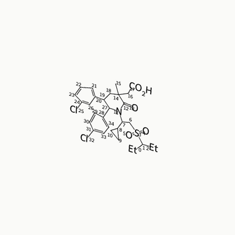 CCC(CC)S(=O)(=O)CC(C1CC1)N1C(=O)C(C)(CC(=O)O)CC(c2cccc(Cl)c2)C1c1ccc(Cl)cc1